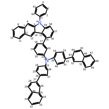 c1ccc(-n2c3cc4ccccc4cc3c3c(-c4cccc(N(c5ccc(-c6ccc7ccccc7c6)cc5)c5ccc(-c6ccc7ccccc7c6)cc5)c4)cccc32)cc1